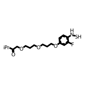 CC(C)C(=O)COCCCOCCCOc1ccc(NS)c(F)c1